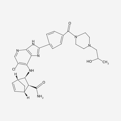 CC(O)CN1CCN(C(=O)c2ccc(-c3nc4c(N[C@H]5[C@@H](C(N)=O)[C@@H]6C=C[C@H]5C6)c(Cl)cnc4[nH]3)cc2)CC1